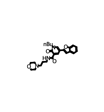 CCCCn1cc(-c2cc3ccccc3o2)cc(C(=O)NCCCN2CCOCC2)c1=O